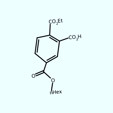 CCCCCCOC(=O)c1ccc(C(=O)OCC)c(C(=O)O)c1